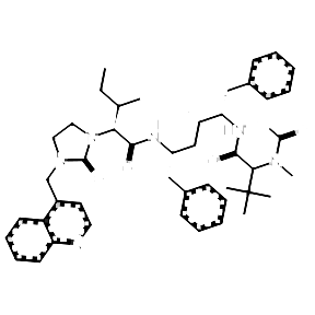 CCC(C)[C@@H](C(=O)N[C@@H](Cc1ccccc1)C[C@H](O)[C@H](Cc1ccccc1)NC(=O)C(N(C)C(=O)O)C(C)(C)C)N1CCN(Cc2ccnc3ccccc23)C1=O